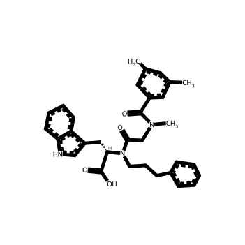 Cc1cc(C)cc(C(=O)N(C)CC(=O)N(CCCc2ccccc2)[C@@H](Cc2c[nH]c3ccccc23)C(=O)O)c1